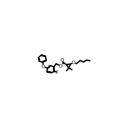 CCCCCOC1C(C(=O)OCc2cc(Oc3ccccc3)ccc2F)C1(C)C